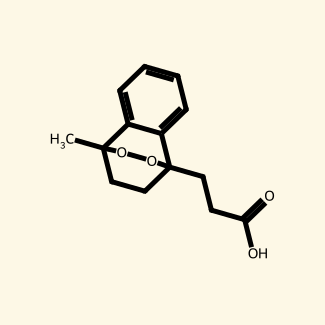 CC12CCC(CCC(=O)O)(OO1)c1ccccc12